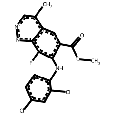 COC(=O)c1cc2c(C)cnnc2c(F)c1Nc1ccc(Cl)cc1Cl